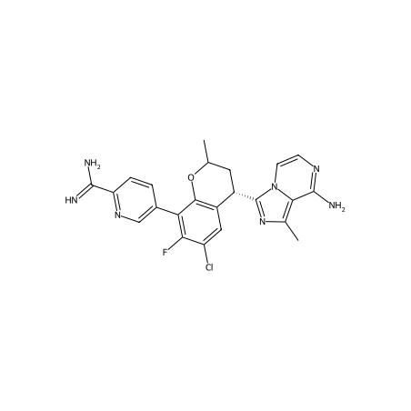 Cc1nc([C@H]2CC(C)Oc3c2cc(Cl)c(F)c3-c2ccc(C(=N)N)nc2)n2ccnc(N)c12